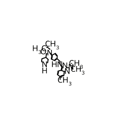 Cc1ccc2c(NCc3ccc(N(CC(C)C)C(=O)C4CCNCC4)cc3)nc(N(C)C)nc2c1